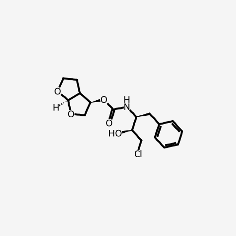 O=C(N[C@@H](Cc1ccccc1)[C@H](O)CCl)O[C@H]1CO[C@H]2OCCC21